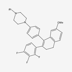 COc1ccc2c(c1)C(c1ccc(N3CCN(C(C)C)CC3)cc1)=C(c1ccc(F)c(F)c1F)CC2